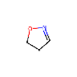 [C]1C=NOC1